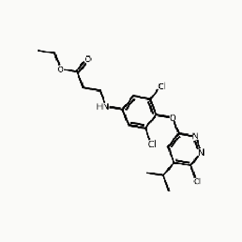 CCOC(=O)CCNc1cc(Cl)c(Oc2cc(C(C)C)c(Cl)nn2)c(Cl)c1